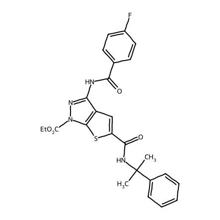 CCOC(=O)n1nc(NC(=O)c2ccc(F)cc2)c2cc(C(=O)NC(C)(C)c3ccccc3)sc21